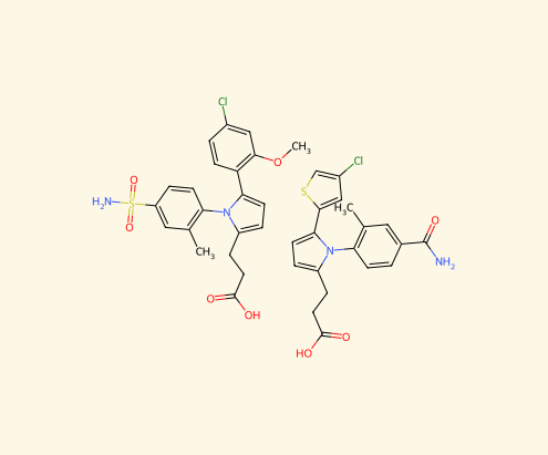 COc1cc(Cl)ccc1-c1ccc(CCC(=O)O)n1-c1ccc(S(N)(=O)=O)cc1C.Cc1cc(C(N)=O)ccc1-n1c(CCC(=O)O)ccc1-c1cc(Cl)cs1